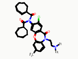 CCN(CC)CCN1C(=O)c2cc(Cl)c(N(C(=O)C3CCCCCC3)C(=O)C3CCCCCC3)cc2Oc2cc(C(F)(F)F)ccc21